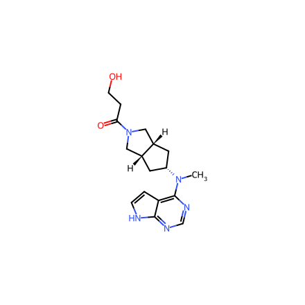 CN(c1ncnc2[nH]ccc12)[C@@H]1C[C@@H]2CN(C(=O)CCO)C[C@@H]2C1